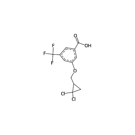 O=C(O)c1cc(OCC2CC2(Cl)Cl)cc(C(F)(F)F)c1